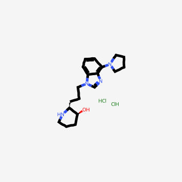 Cl.Cl.O[C@H]1CCCN[C@@H]1CCCn1cnc2c(N3CCCC3)cccc21